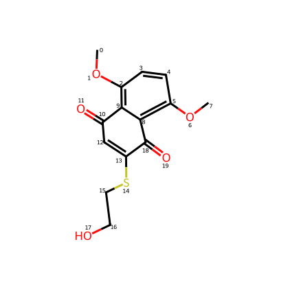 COc1ccc(OC)c2c1C(=O)C=C(SCCO)C2=O